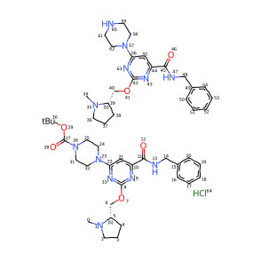 CN1CCC[C@H]1COc1nc(C(=O)NCc2ccccc2)cc(N2CCN(C(=O)OC(C)(C)C)CC2)n1.CN1CCC[C@H]1COc1nc(C(=O)NCc2ccccc2)cc(N2CCNCC2)n1.Cl